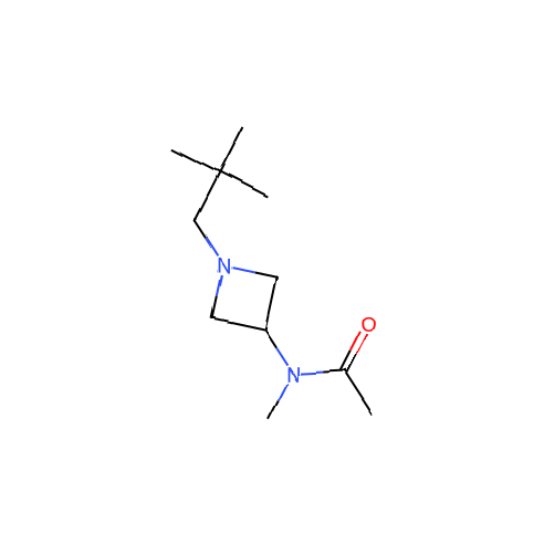 CC(=O)N(C)C1CN(CC(C)(C)C)C1